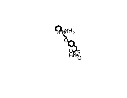 NN(CCOc1ccc(CC2SC(=O)NC2=O)cc1)c1ccccn1